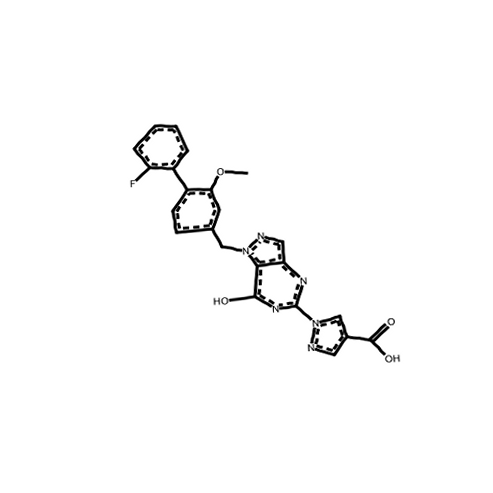 COc1cc(Cn2ncc3nc(-n4cc(C(=O)O)cn4)nc(O)c32)ccc1-c1ccccc1F